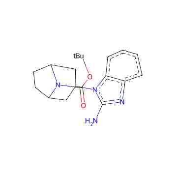 CC(C)(C)OC(=O)N1C2CCC1CC(n1c(N)nc3ccccc31)C2